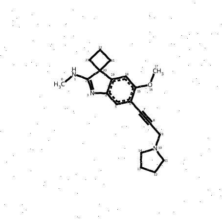 CNC1=Nc2cc(C#CCN3CCCC3)c(OC)cc2C12CCC2